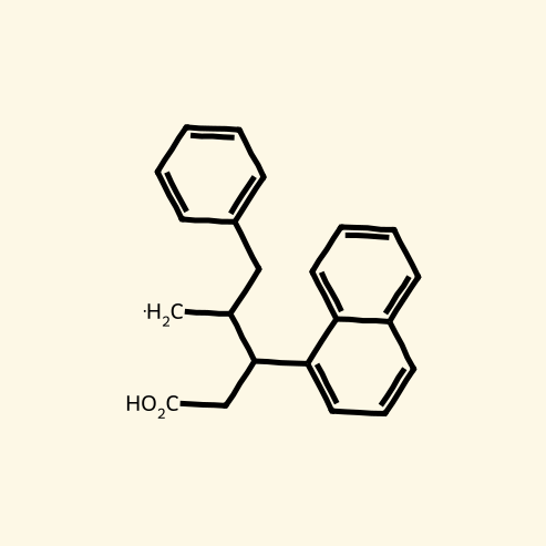 [CH2]C(Cc1ccccc1)C(CC(=O)O)c1cccc2ccccc12